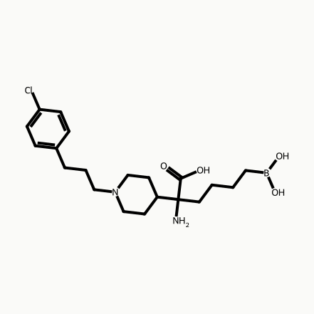 NC(CCCCB(O)O)(C(=O)O)C1CCN(CCCc2ccc(Cl)cc2)CC1